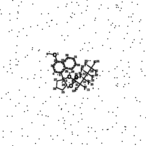 COc1ccc(S2(OS(=O)(=O)C(F)(F)C(F)(F)C(F)(F)C(F)(F)F)CCCC2)c2ccccc12